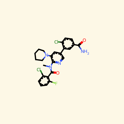 CN(C(=O)c1c(F)cccc1Cl)c1ncc(-c2cc(C(N)=O)ccc2Cl)cc1N1CCCCC1